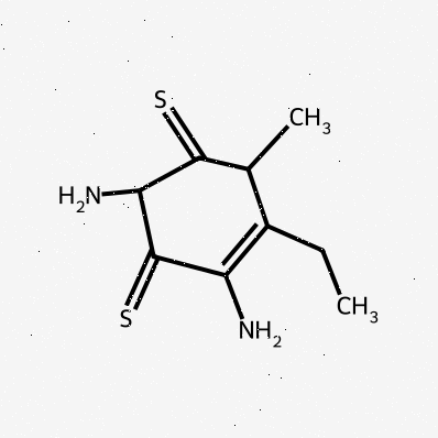 CCC1=C(N)C(=S)C(N)C(=S)C1C